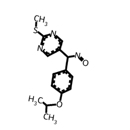 CSc1ncc(C(N=O)c2ccc(OC(C)C)cc2)cn1